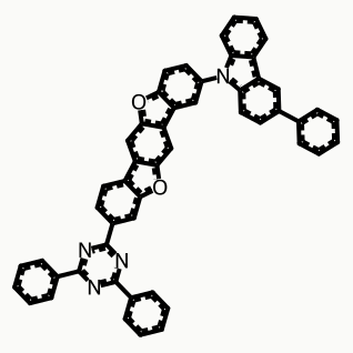 c1ccc(-c2ccc3c(c2)c2ccccc2n3-c2ccc3oc4cc5c(cc4c3c2)oc2cc(-c3nc(-c4ccccc4)nc(-c4ccccc4)n3)ccc25)cc1